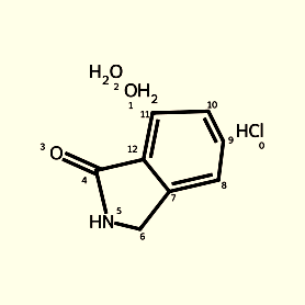 Cl.O.O.O=C1NCc2ccccc21